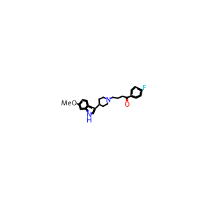 COc1ccc2c(C3CCN(CCCC(=O)c4ccc(F)cc4)CC3)c[nH]c2c1